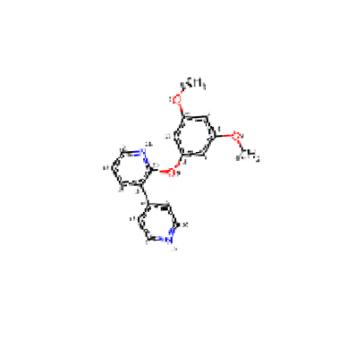 COc1cc(OC)cc(Oc2ncccc2-c2ccncc2)c1